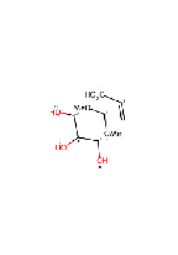 C=CC(=O)O.COCOC.OCC(O)CO